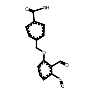 O=Cc1c(N=O)cccc1OCc1ccc(C(=O)O)cc1